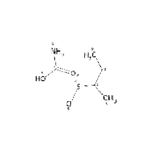 CCC(C)SCl.NC(=O)O